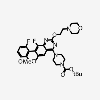 COc1cccc(F)c1-c1c(Cl)cc2c(N3CCN(C(=O)OC(C)(C)C)CC3)nc(OCCN3CCOCC3)nc2c1F